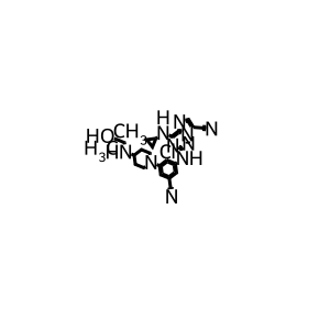 CC(C)(O)CNC1CCN(c2cc(C#N)cc(Nc3nc(NC4CC4)c4ncc(C#N)n4n3)c2Cl)CC1